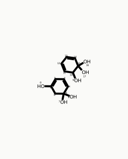 OC1=CC=CC(O)(O)C1.OC1C=CC=CC1(O)O